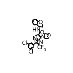 O=C(NC1CCOc2ccccc21)c1cnn2c(-c3cc(Cl)cc(Cl)c3)c(C(F)(F)F)nc2c1N1CCOCC1